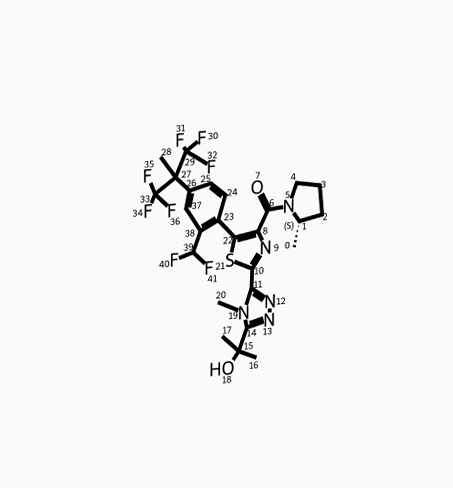 C[C@H]1CCCN1C(=O)c1nc(-c2nnc(C(C)(C)O)n2C)sc1-c1ccc(C(C)(C(F)(F)F)C(F)(F)F)cc1C(F)F